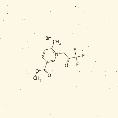 COC(=O)c1ccc(C)[n+](CC(=O)C(F)(F)F)c1.[Br-]